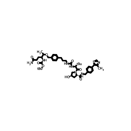 Cc1ncsc1-c1ccc(CNC(=O)[C@@H]2C[C@@H](O)CN2C(=O)C(NC(=O)NCCCc2ccc(COC(C)C(CCC(N)=O)NC(=O)OC(C)(C)C)cc2)C(C)(C)C)cc1